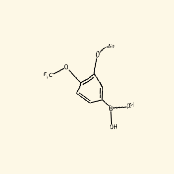 CCOc1cc(B(O)O)ccc1OC(F)(F)F